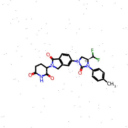 Cc1ccc(N2C(=O)N(c3ccc4c(c3)CN(C3CCC(=O)NC3=O)C4=O)C[C@H]2C(F)F)cc1